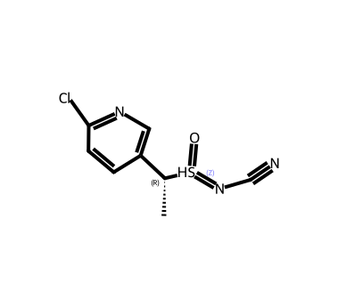 C[C@H](c1ccc(Cl)nc1)/[SH](=O)=N/C#N